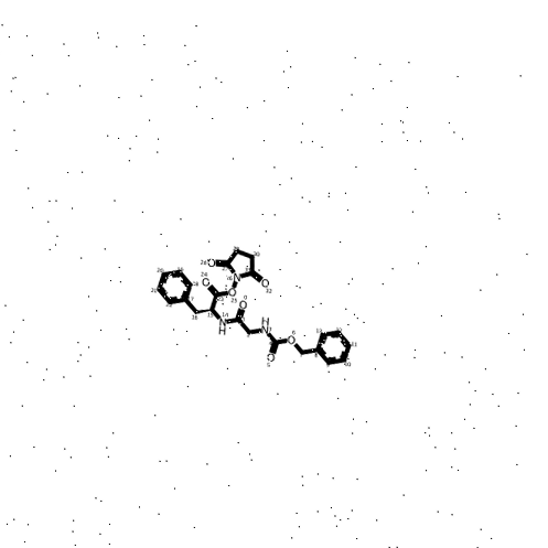 O=C(CNC(=O)OCc1ccccc1)N[C@@H](Cc1ccccc1)C(=O)ON1C(=O)CCC1=O